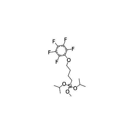 CO[Si](CCCCOc1c(F)c(F)c(F)c(F)c1F)(OC(C)C)OC(C)C